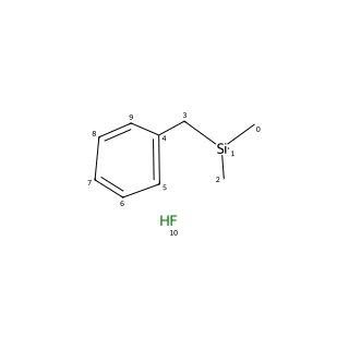 C[Si](C)Cc1ccccc1.F